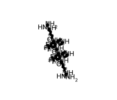 N=C(N)NCCCCC(=O)Nc1cc(C(F)(F)F)cc(NC(=O)Nc2cc(C(F)(F)F)cc(NC(=O)CCCCNC(=N)N)c2N2CCNCC2)c1N1CCNCC1